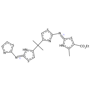 CCOC(=O)c1s/c(=N/c2nc(C(C)(C)c3cs/c(=N/c4nccs4)[nH]3)cs2)[nH]c1C